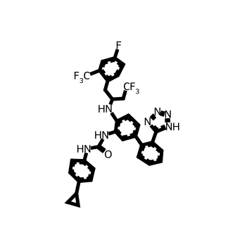 O=C(Nc1ccc(C2CC2)cc1)Nc1cc(-c2ccccc2-c2nnn[nH]2)ccc1NC(Cc1ccc(F)cc1C(F)(F)F)CC(F)(F)F